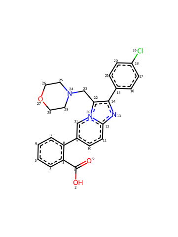 O=C(O)c1ccccc1-c1ccc2nc(-c3ccc(Cl)cc3)c(CN3CCOCC3)n2c1